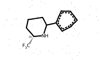 FC(F)(F)[C@@H]1CCCC(c2ccccc2)N1